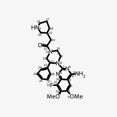 COc1cc2c(N)nc(N3CCN(C(=O)CC4CCCNC4)CC3c3ccccc3)nc2c(F)c1OC